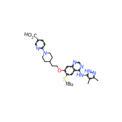 Cc1n[nH]c(Nc2ncnc3cc(OCCC4CCN(c5ccc(C(=O)O)cn5)CC4)c(SC(C)(C)C)cc23)c1C